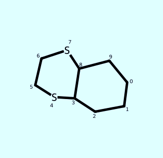 C1CCC2SCCSC2C1